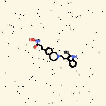 CC(C)(C)c1[nH]c2ccccc2c1CCN1CCCc2cc(C=CC(=O)NO)ccc2C1